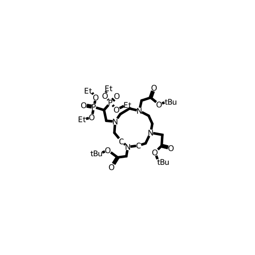 CCOP(=O)(OCC)C(CN1CCN(CC(=O)OC(C)(C)C)CCN(CC(=O)OC(C)(C)C)CCN(CC(=O)OC(C)(C)C)CC1)P(=O)(OCC)OCC